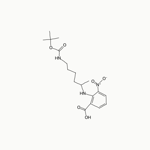 CC(CCCCNC(=O)OC(C)(C)C)Nc1c(C(=O)O)cccc1[N+](=O)[O-]